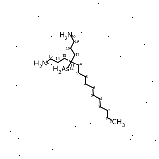 CCCCCCCCCCCC([AsH2])(CCCN)CCCN